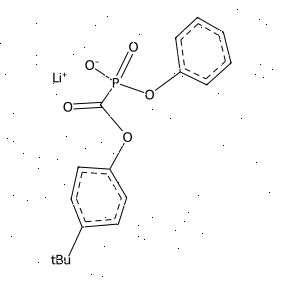 CC(C)(C)c1ccc(OC(=O)P(=O)([O-])Oc2ccccc2)cc1.[Li+]